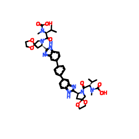 CC(C)[C@@H](C(=O)N1CC2(C[C@H]1c1nc3cc(-c4ccc(-c5ccc6[nH]c([C@@H]7CC8(CN7C(=O)[C@H](C(C)C)N(C)C(=O)O)OCCO8)nc6c5)cc4)ccc3[nH]1)OCCO2)N(C)C(=O)O